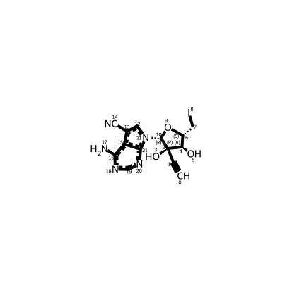 C#C[C@@]1(O)[C@H](O)[C@@H](CI)O[C@H]1n1cc(C#N)c2c(N)ncnc21